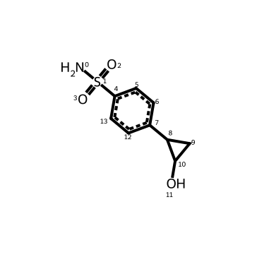 NS(=O)(=O)c1ccc(C2CC2O)cc1